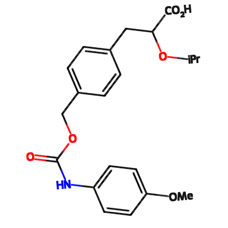 COc1ccc(NC(=O)OCc2ccc(CC(OC(C)C)C(=O)O)cc2)cc1